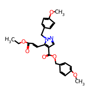 CCOC(=O)C=Cc1c(C(=O)OCc2ccc(OC)cc2)cnn1Cc1ccc(OC)cc1